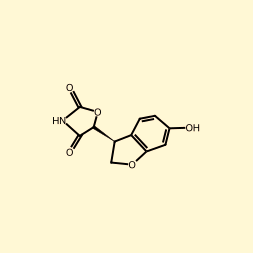 O=C1NC(=O)C([C@@H]2COc3cc(O)ccc32)O1